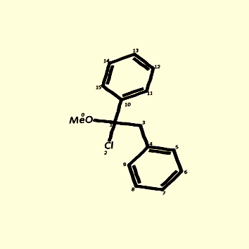 COC(Cl)(Cc1ccccc1)c1ccccc1